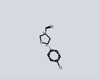 O=C[C@@H]1CO[C@@H](c2ccc(Cl)cc2)C1